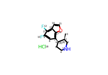 C[C@H]1CNCC[C@H]1c1cc(F)c(F)c2ccoc12.Cl